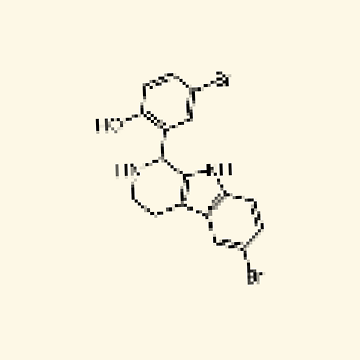 Oc1ccc(Br)cc1C1NCCc2c1[nH]c1ccc(Br)cc21